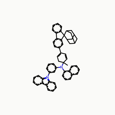 CC1(N(c2cccc(-n3c4ccccc4c4ccccc43)c2)c2cccc3ccccc23)C=CC(c2ccc3c(c2)C2(c4ccccc4-3)C3CC4CC(C3)CC2C4)=CC1